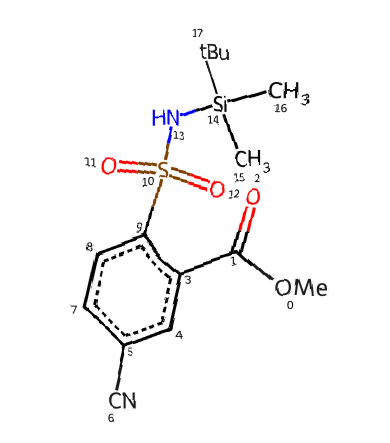 COC(=O)c1cc(C#N)ccc1S(=O)(=O)N[Si](C)(C)C(C)(C)C